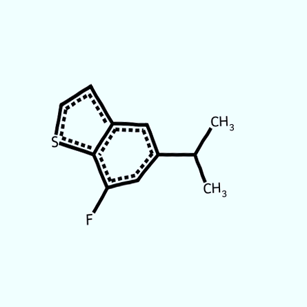 CC(C)c1cc(F)c2sccc2c1